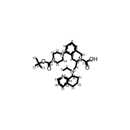 CCN(CC1Cc2c(cccc2N2CCN(C(=O)OC(C)(C)C)CC2)CN1C(=O)O)[C@H]1CCCc2cccnc21